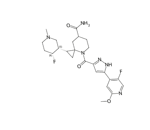 COc1cc(-c2cc(C(=O)N3CCC(C(N)=O)CC34CC4[C@H]3CN(C)CC[C@H]3F)n[nH]2)c(F)cn1